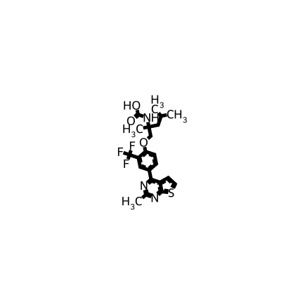 Cc1nc(-c2ccc(OCC(C)(CC(C)C)NC(=O)O)c(C(F)(F)F)c2)c2ccsc2n1